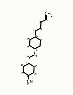 C=CCCC[C@H]1CC[C@H](CC[C@H]2CC[C@H](C#N)CC2)CC1